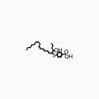 CCCCC/C=C\C\C=C/C=C/C=C/[C@@H](Sc1ccc(C(=O)O)cc1)[C@@H](O)CCC